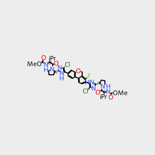 COC(=O)N[C@H](C(=O)N1CCC[C@H]1c1nc(Cl)c(-c2ccc3c(c2)OCc2c-3ccc(-c3[nH]c([C@@H]4CCCN4C(=O)[C@@H](NC(=O)OC)C(C)C)nc3Cl)c2F)[nH]1)C(C)C